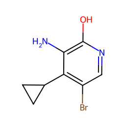 Nc1c(O)ncc(Br)c1C1CC1